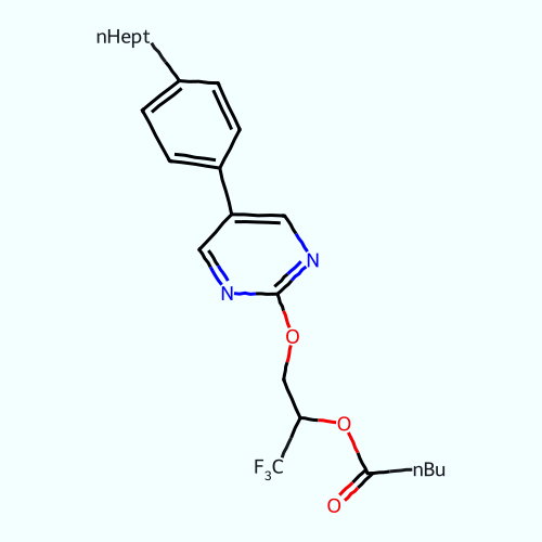 CCCCCCCc1ccc(-c2cnc(OCC(OC(=O)CCCC)C(F)(F)F)nc2)cc1